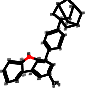 Cc1cc(-c2ccc(C34CC5CC(CC(C5)C3)C4)cc2)c2oc3ccccc3c2c1